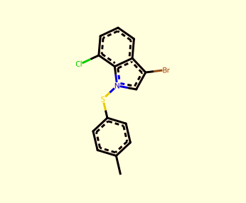 Cc1ccc(Sn2cc(Br)c3cccc(Cl)c32)cc1